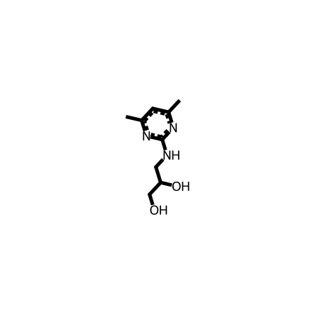 Cc1cc(C)nc(NCC(O)CO)n1